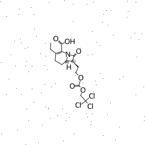 CCC1=C(C(=O)O)N2C(=O)[C@@H](CCOC(=O)OCC(Cl)(Cl)Cl)[C@H]2CC1